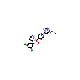 CC1([C@@H]2CC=NN2C(=O)C2CCN(c3cc(C#N)ncn3)CC2)C=C(F)C=C(F)C1